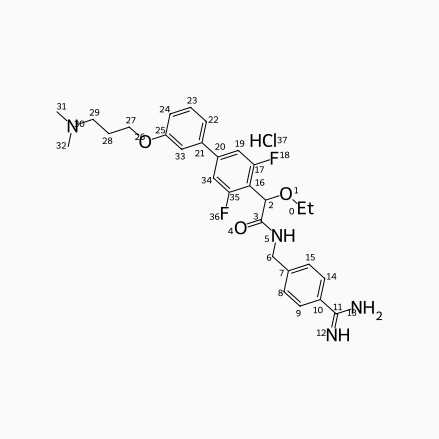 CCOC(C(=O)NCc1ccc(C(=N)N)cc1)c1c(F)cc(-c2cccc(OCCCN(C)C)c2)cc1F.Cl